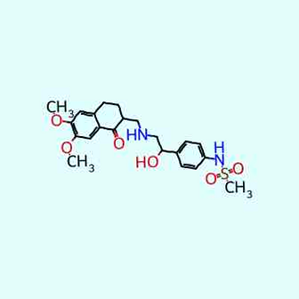 COc1cc2c(cc1OC)C(=O)C(CNCC(O)c1ccc(NS(C)(=O)=O)cc1)CC2